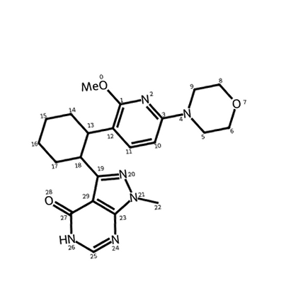 COc1nc(N2CCOCC2)ccc1C1CCCCC1c1nn(C)c2nc[nH]c(=O)c12